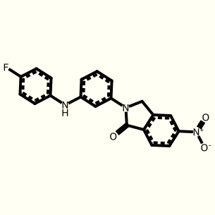 O=C1c2ccc([N+](=O)[O-])cc2CN1c1cccc(Nc2ccc(F)cc2)c1